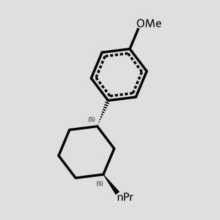 CCC[C@H]1CCC[C@H](c2ccc(OC)cc2)C1